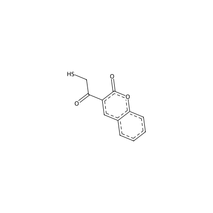 O=C(CS)c1cc2ccccc2oc1=O